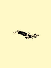 Cn1cc2cc(-n3cnc4sc(N5CCNCC5)nc4c3=O)ccc2n1